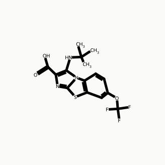 CC(C)(C)Nc1c(C(=O)O)nc2sc3cc(OC(F)(F)F)ccc3n12